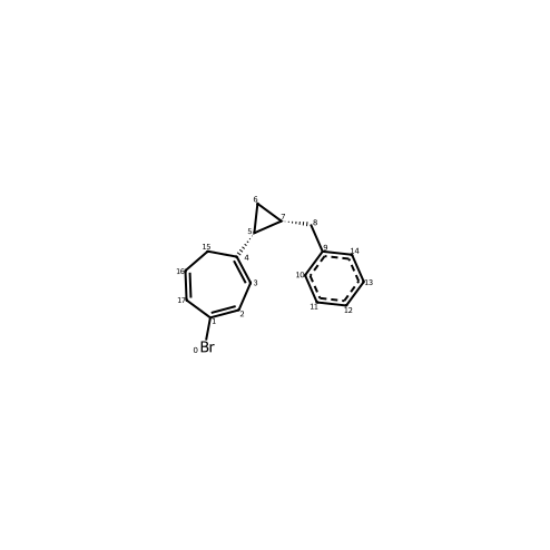 BrC1=CC=C([C@@H]2C[C@@H]2Cc2ccccc2)CC=C1